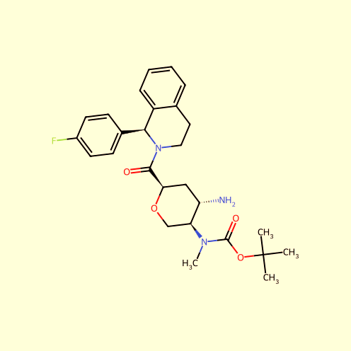 CN(C(=O)OC(C)(C)C)[C@H]1CO[C@@H](C(=O)N2CCc3ccccc3[C@@H]2c2ccc(F)cc2)C[C@@H]1N